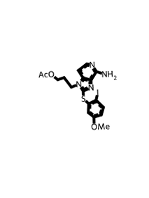 COc1ccc(I)c(Sc2nc3c(N)nccc3n2CCCOC(C)=O)c1